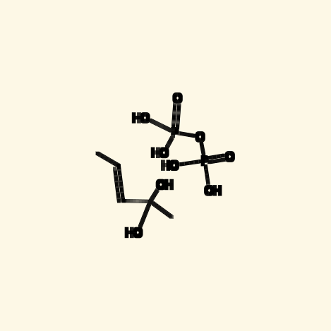 CC=CC(C)(O)O.O=P(O)(O)OP(=O)(O)O